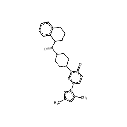 Cc1cc(C)n(-c2ccc(=O)n(C3CCN(C(=O)C4CCCc5ccccc54)CC3)n2)n1